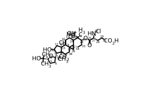 CC(C)(O)[C@@H]1CC[C@](C)([C@H]2[C@@H](O)C[C@@]3(C)C4C[C@H](O)[C@H]5C(C)(C)[C@@H](OC(=O)[C@H](CCC(=O)O)NCl)CC[C@@]56CC46CC[C@]23C)O1